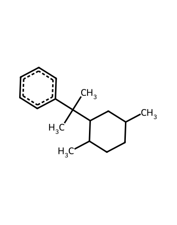 CC1CCC(C)C(C(C)(C)c2ccccc2)C1